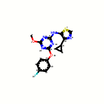 COc1nc(Nc2scnc2C2CC2)nc(Oc2ccc(F)cc2)n1